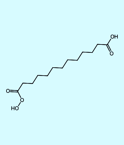 O=C(O)CCCCCCCCCCCC(=O)OO